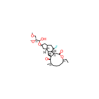 CC[C@H]1CCCC[C@@H](C)C(=O)C2=CC3[C@@H]4C[C@H](OC(O)[C@H](COC)OC)CC4C[C@@H](F)[C@H]3[C@@H]2CC(=O)O1